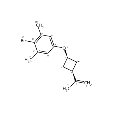 C=C(C)[C@H]1C[C@@H](Oc2cc(C)c(Br)c(C)c2)C1